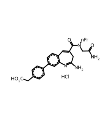 CCCN(CC(N)=O)C(=O)C1=Cc2ccc(-c3ccc(CC(=O)O)cc3)cc2N=C(N)C1.Cl